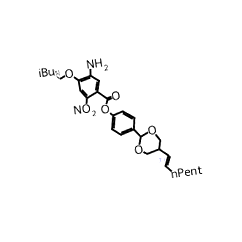 CCCCC/C=C/C1COC(c2ccc(OC(=O)c3cc(N)c(OC[C@@H](C)CC)cc3[N+](=O)[O-])cc2)OC1